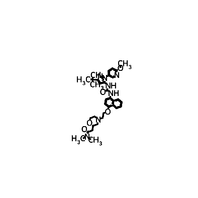 COc1ccc(-n2nc(C(C)(C)C)cc2NC(=O)Nc2ccc(OCCN3CCOC(CC(=O)N(C)C)C3)c3ccccc23)cn1